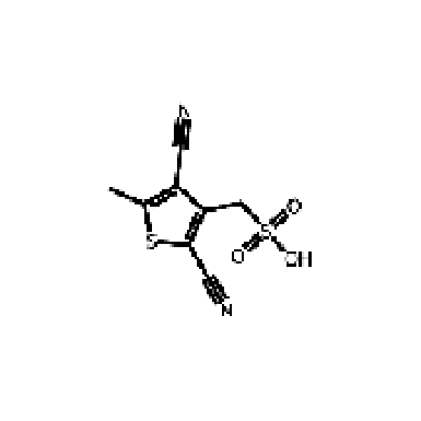 Cc1sc(C#N)c(CS(=O)(=O)O)c1C#N